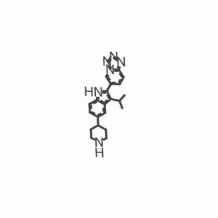 CC(C)c1c(-c2ccc3nnnn3c2)[nH]c2ccc(C3CCNCC3)cc12